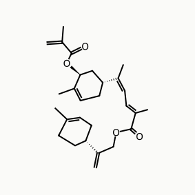 C=C(C)C(=O)O[C@H]1C[C@H](/C(C)=C\C=C(/C)C(=O)OCC(=C)[C@H]2CC=C(C)CC2)CC=C1C